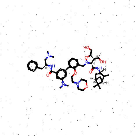 CC1[C@@H](NC(=O)[C@@H]2[C@H]([C@H](C)O)C(CO)ON2Cc2cccc(-c3cc(C(=O)N[C@@H](Cc4ccccc4)CN(C)C)cc(N(C)C)c3)c2OCCN2CCOCC2)C[C@H]2C[C@@H]1C2(C)C